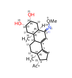 CO/N=C1/C=C2C3=CC[C@H](C(C)=O)[C@@]3(C)CCC2[C@@]2(C)C[C@H](O)[C@H](O)C[C@@H]12